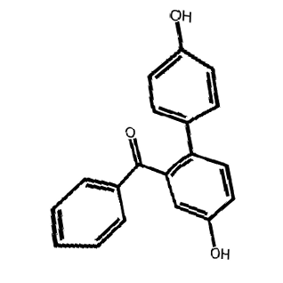 O=C(c1ccccc1)c1cc(O)ccc1-c1ccc(O)cc1